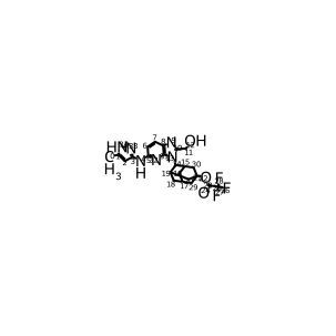 Cc1cc(Nc2ccc3nc(CO)n(C4C5CC6CC4CC(OC(=O)C(F)(F)F)(C6)C5)c3n2)n[nH]1